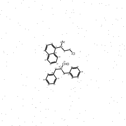 CC(=O)N(CCCl)c1cccc2ccccc12.O=CN(Cc1ccccc1)Cc1ccccc1